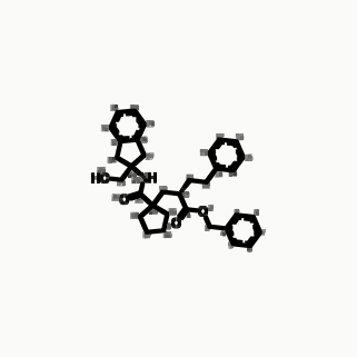 O=C(OCc1ccccc1)[C@H](CCc1ccccc1)CC1(C(=O)NC2(CO)Cc3ccccc3C2)CCCC1